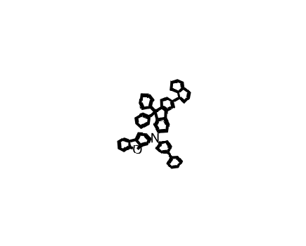 c1ccc(-c2ccc(N(c3ccc4c(c3)C(c3ccccc3)(c3ccccc3)c3ccc(-c5cccc6ccccc56)cc3-4)c3ccc4c(c3)oc3ccccc34)cc2)cc1